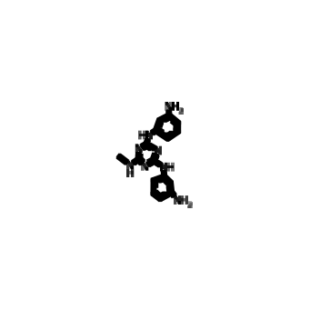 CNc1nc(Nc2cccc(N)c2)nc(Nc2cccc(N)c2)n1